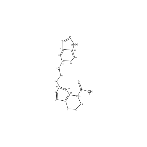 O=C(O)N1CCCc2ccc(CCOc3ccc4[nH]ccc4c3)nc21